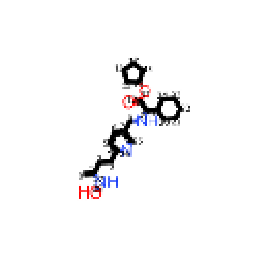 C=C(CCc1ccc(CNC(C(=O)OC2CCCC2)C2CCCCC2)cn1)NO